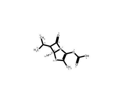 CC1=C(OC(=O)O)N2C(=O)C(C(C)C)[C@@H]2S1